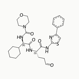 O=CCC[C@H](NC(=O)[C@H](NC(=O)N1CCOCC1)C1CCCCC1)C(=O)Nc1nc(-c2ccccc2)cs1